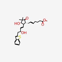 COC(=O)CCCC=CC[C@H]1C(=O)C(C)(C)[C@@H](O)C1C=CC(O)Cc1cc2ccccc2s1